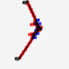 COCCOCCOCCOCCOCCOCCOCCOCCOCCOCC(=O)NCCCC[C@H](NC(=O)CCCNC(=O)[C@H]([C@@H](C(=O)NCCCC(=O)N[C@@H](CCCCNC(=O)COCCOCCOCCOCCOCCOCCOCCOCCOCCOC)C(=O)NCC(=O)O)N1C(=O)C=CC1=O)N1C(=O)C=CC1=O)C(=O)NCC(=O)O